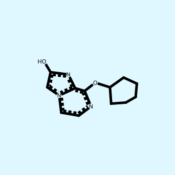 Oc1cn2ccnc(OC3CCCCC3)c2n1